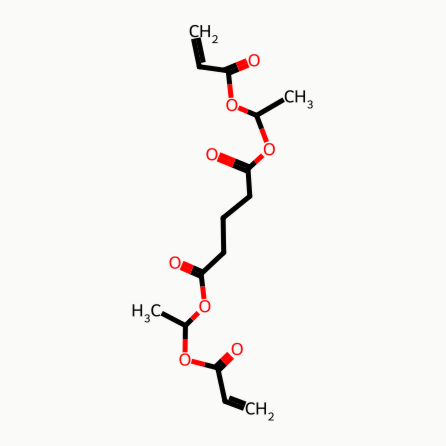 C=CC(=O)OC(C)OC(=O)CCCC(=O)OC(C)OC(=O)C=C